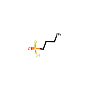 CCCCCCP(=O)(S)S